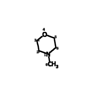 CN1[CH][CH]OCC1